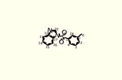 Cc1[c]ccc(S(=O)(=O)n2cnc3ccccc32)c1